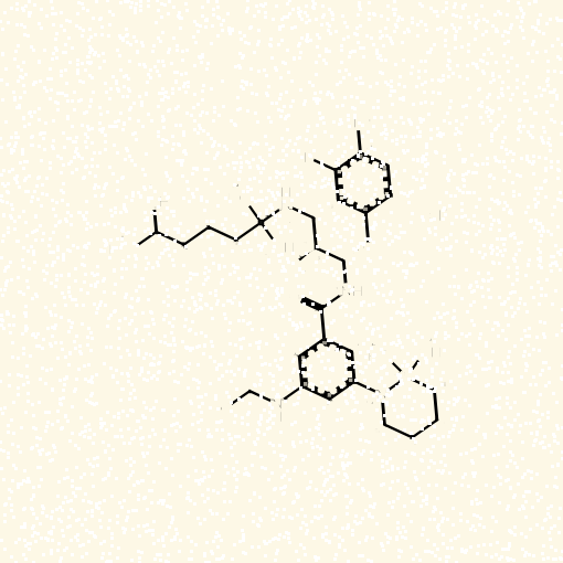 CCNc1cc(C(=O)N[C@@H](Cc2ccc(F)c(F)c2)[C@@H](O)CNC(C)(C)CCCC(C)C)cc(N2CCCCS2(O)O)c1.Cl